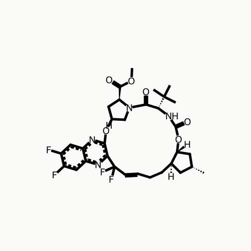 COC(=O)[C@@H]1C[C@@H]2CN1C(=O)[C@H](C(C)(C)C)NC(=O)O[C@@H]1C[C@H](C)C[C@H]1CC/C=C/C(F)(F)c1nc3cc(F)c(F)cc3nc1O2